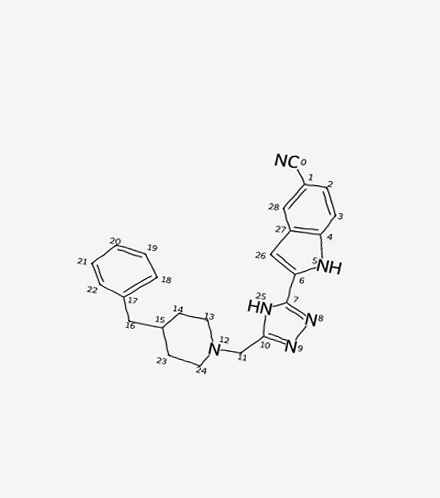 N#Cc1ccc2[nH]c(-c3nnc(CN4CCC(Cc5ccccc5)CC4)[nH]3)cc2c1